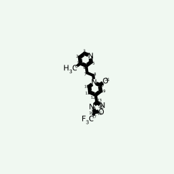 Cc1ccncc1CCn1ccc(-c2noc(C(F)(F)F)n2)cc1=O